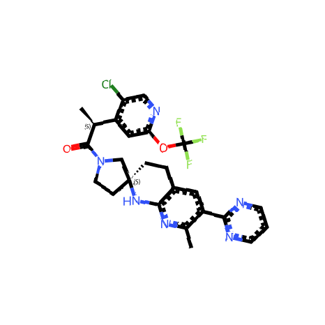 Cc1nc2c(cc1-c1ncccn1)CC[C@@]1(CCN(C(=O)[C@@H](C)c3cc(OC(F)(F)F)ncc3Cl)C1)N2